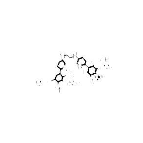 CCOc1c(OC)cc(-c2ccc(N(C)CCN(C)c3ccc(-c4cc(OC)c(OCC)c(OC)c4C(=O)O)nc3)cn2)c(C(=O)O)c1OC